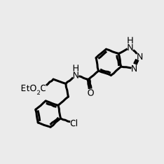 CCOC(=O)CC(Cc1ccccc1Cl)NC(=O)c1ccc2[nH]nnc2c1